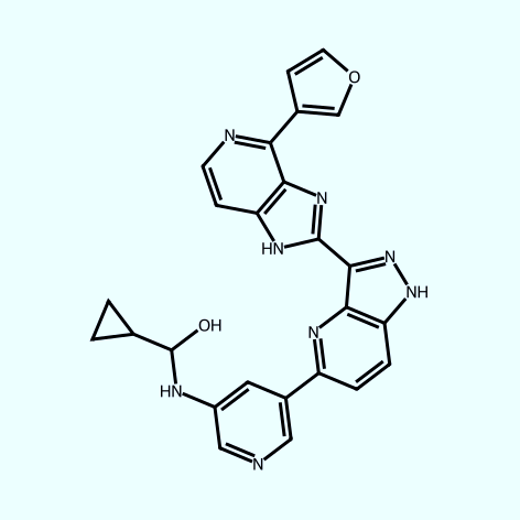 OC(Nc1cncc(-c2ccc3[nH]nc(-c4nc5c(-c6ccoc6)nccc5[nH]4)c3n2)c1)C1CC1